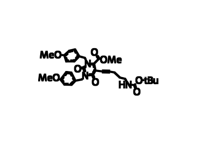 COC(=O)c1c(C#CCCCNC(=O)OC(C)(C)C)c(=O)n(Cc2ccc(OC)cc2)c(=O)n1Cc1ccc(OC)cc1